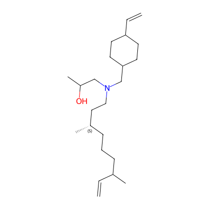 C=CC(C)CCC[C@H](C)CCN(CC(C)O)CC1CCC(C=C)CC1